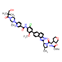 COC(=O)N[C@H](C(=O)N1C[C@@H](C)C[C@H]1c1nc2c(ccc3cc(-c4cc(Cl)c(NC(=O)c5ccc(N6CCN(C(=O)C(C)(C)CO)C[C@H]6C)nc5)cc4OC(F)(F)F)ccc32)[nH]1)C1CCOCC1